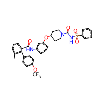 Cc1cccc(C(=O)Nc2cccc(OC3CCN(C(=O)NS(=O)(=O)c4ccccc4)CC3)c2)c1-c1ccc(OC(F)(F)F)cc1